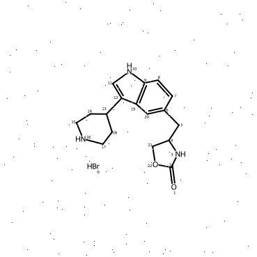 Br.O=C1NC(Cc2ccc3[nH]cc(C4CCNCC4)c3c2)CO1